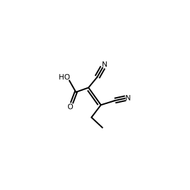 CCC(C#N)=C(C#N)C(=O)O